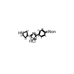 CCCCCCCCCc1ccc(-c2noc([C@@H]3CCNC3)n2)cc1.Cl